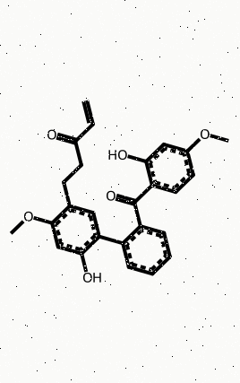 C=CC(=O)CCc1cc(-c2ccccc2C(=O)c2ccc(OC)cc2O)c(O)cc1OC